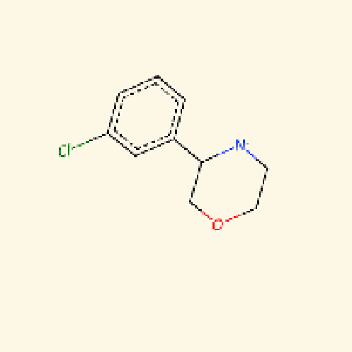 Clc1cccc(C2COCC[N]2)c1